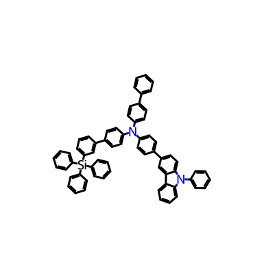 c1ccc(-c2ccc(N(c3ccc(-c4cccc([Si](c5ccccc5)(c5ccccc5)c5ccccc5)c4)cc3)c3ccc(-c4ccc5c(c4)c4ccccc4n5-c4ccccc4)cc3)cc2)cc1